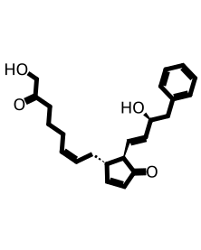 O=C(CO)CCC/C=C\C[C@H]1C=CC(=O)[C@@H]1/C=C/[C@@H](O)Cc1ccccc1